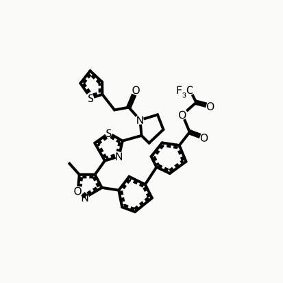 Cc1onc(-c2cccc(-c3ccc(C(=O)OC(=O)C(F)(F)F)cc3)c2)c1-c1csc(C2CCCN2C(=O)Cc2cccs2)n1